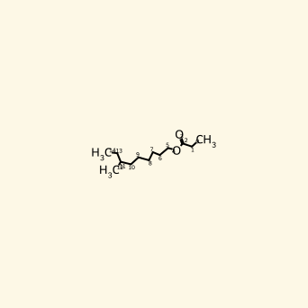 CCC(=O)OCCCCCCC(C)CC